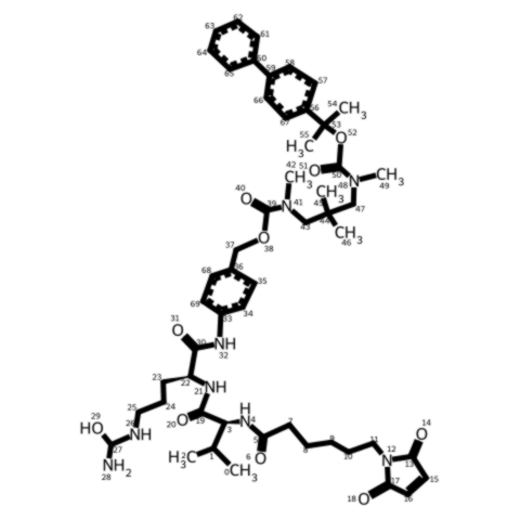 CC(C)[C@H](NC(=O)CCCCCN1C(=O)C=CC1=O)C(=O)N[C@@H](CCCNC(N)O)C(=O)Nc1ccc(COC(=O)N(C)CC(C)(C)CN(C)C(=O)OC(C)(C)c2ccc(-c3ccccc3)cc2)cc1